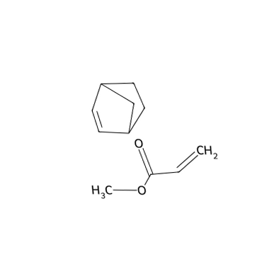 C1=CC2CCC1C2.C=CC(=O)OC